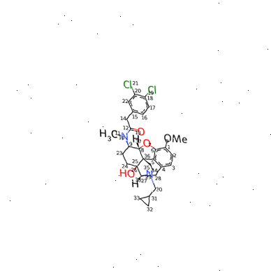 COc1ccc2c3c1O[C@H]1[C@H](N(C)C(=O)Cc4ccc(Cl)c(Cl)c4)CC[C@@]4(O)[C@@H](C2)N(CC2CC2)CC[C@]314